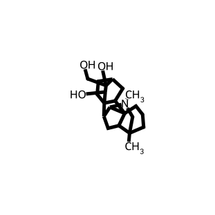 CN1CC2(C)CCCC34C1C(CC23)C12CCC(CC41)C(O)(CO)C2O